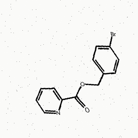 O=C(OCc1ccc(Br)cc1)c1ccccn1